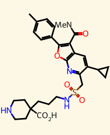 CNC(=O)c1c(-c2ccc(C)cc2)oc2nc(CS(=O)(=O)NCCCC3(C(=O)O)CCNCC3)c(C3CC3)cc12